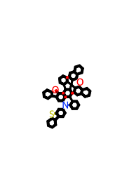 c1ccc(N(c2ccc3c(c2)sc2ccccc23)c2ccc3oc4ccccc4c3c2)c(-c2ccc3c(c2)C2(c4ccccc4-3)c3ccc4ccccc4c3Oc3c2ccc2ccccc32)c1